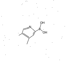 Cc1cnc(B(O)O)cc1C